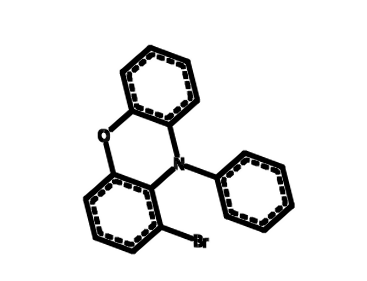 Brc1cccc2c1N(c1ccccc1)c1ccccc1O2